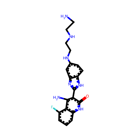 NCCNCCNc1ccc2[nH]c(-c3c(N)c4c(F)cccc4[nH]c3=O)nc2c1